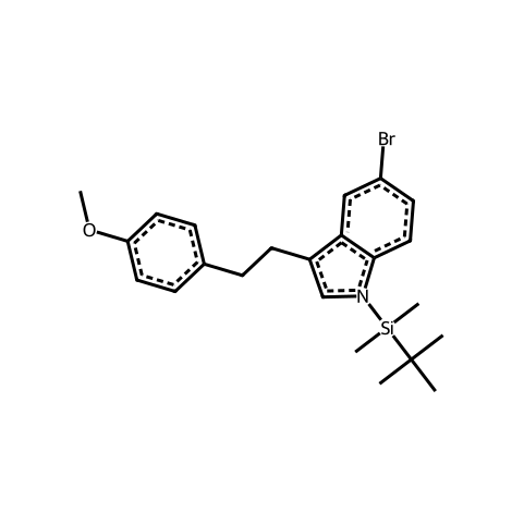 COc1ccc(CCc2cn([Si](C)(C)C(C)(C)C)c3ccc(Br)cc23)cc1